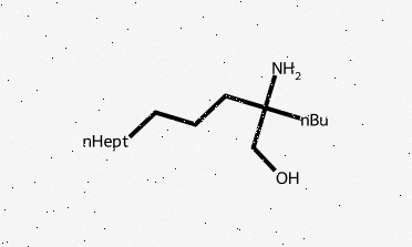 CCCCCCCCCCC(N)(CO)CCCC